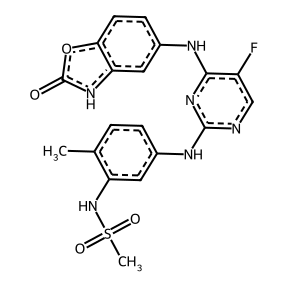 Cc1ccc(Nc2ncc(F)c(Nc3ccc4oc(=O)[nH]c4c3)n2)cc1NS(C)(=O)=O